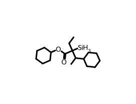 CCC([SiH3])(C(=O)OC1CCCCC1)C(C)C1CCCCC1